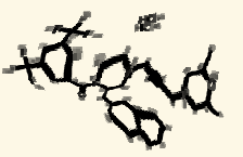 CC1CN(CC#CCN2CCN(C(=O)c3cc(C(F)(F)F)cc(C(F)(F)F)c3)[C@H](Cc3ccc4ccccc4c3)C2)CC(C)O1.Cl.Cl